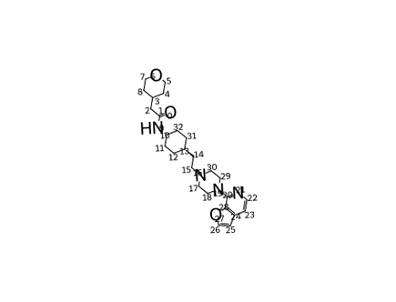 O=C(CC1CCOCC1)N[C@H]1CC[C@H](CCN2CCN(c3nccc4ccoc34)CC2)CC1